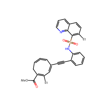 CCC1=C(\C(=O)OC)CC=C=C/C(C#Cc2ccccc2NS(=O)(=O)c2c(CC)ccc3cccnc23)=C\1